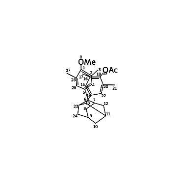 COc1c(C)cc(C2C3CC4CC(C3)C(c3cc(C)c(OC(C)=O)c(C)c3)C2C4)cc1C